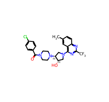 Cc1ccc2nc(C(F)(F)F)nc(N3C[C@H](O)[C@@H](N4CCN(C(=O)c5ccc(Cl)cc5)CC4)C3)c2c1